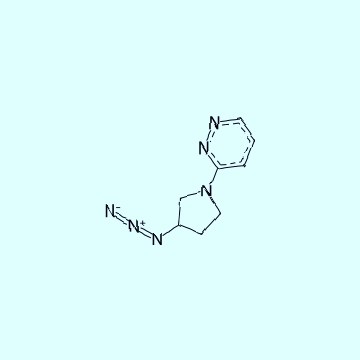 [N-]=[N+]=NC1CCN(c2cccnn2)C1